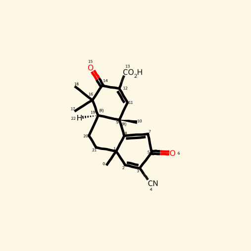 CC12C=C(C#N)C(=O)C=C1[C@@]1(C)C=C(C(=O)O)C(=O)C(C)(C)[C@@H]1CC2